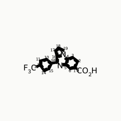 O=C(O)c1ccc2c(c1)nc(-c1ccc(C(F)(F)F)cc1)c1cccn12